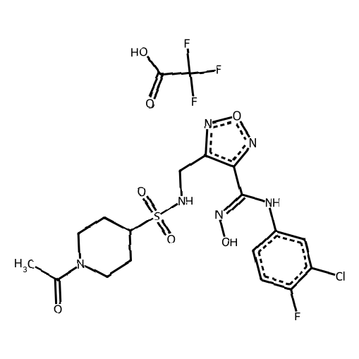 CC(=O)N1CCC(S(=O)(=O)NCc2nonc2C(=NO)Nc2ccc(F)c(Cl)c2)CC1.O=C(O)C(F)(F)F